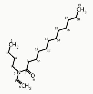 C=CN(CCCC)C(=O)CCCCCCCCCCC